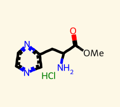 COC(=O)C(N)Cc1cnccn1.Cl